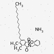 CCCCCCCCCCCCCCc1cc2c(c(C)c1C)C(=O)N(Cc1ccccc1)S2(=O)=O.N